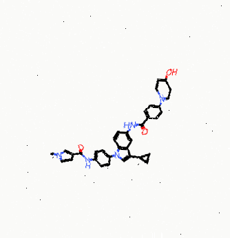 Cn1ccc(C(=O)Nc2ccc(-n3cc(C4CC4)c4cc(NC(=O)c5ccc(N6CCC(O)CC6)cc5)ccc43)cc2)c1